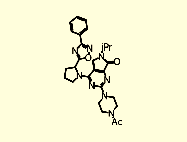 CC(=O)N1CCN(c2nc3c(c(N4CCCC4c4nc(-c5ccccc5)no4)n2)CN(C(C)C)C3=O)CC1